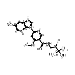 CCCNc1cc(-n2cnc3cc(C#N)cnc32)ncc1C(=O)NCC(F)C(C)(C)O